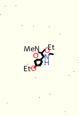 CCOc1ccc(/C(NC(C)OCC)=C(/C)C(=O)NC)cc1